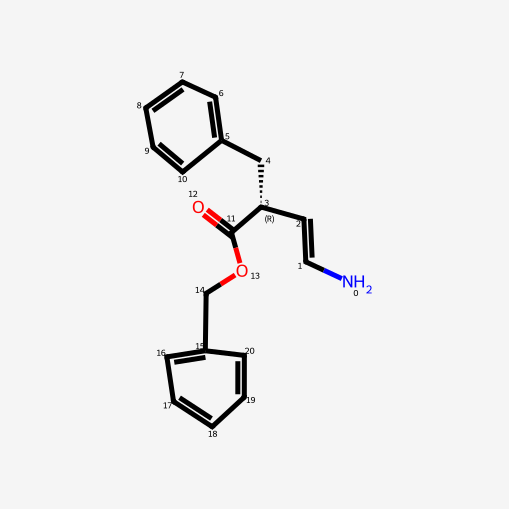 NC=C[C@@H](Cc1ccccc1)C(=O)OCc1ccccc1